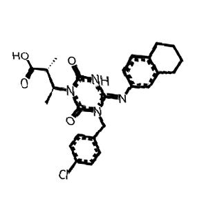 C[C@@H](C(=O)O)[C@H](C)n1c(=O)[nH]/c(=N\c2ccc3c(c2)CCCC3)n(Cc2ccc(Cl)cc2)c1=O